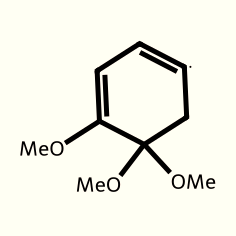 COC1=CC=[C]CC1(OC)OC